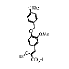 CCOC(=Cc1ccc(OCc2ccc(OC)cc2)c(OC)c1)C(=O)O